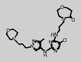 Cc1nn(CCCN2CCOCC2)cc1Nc1ncc(Cl)c(NCCCN2CCOCCC2=O)n1